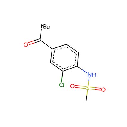 CC(C)(C)C(=O)c1ccc(NS(C)(=O)=O)c(Cl)c1